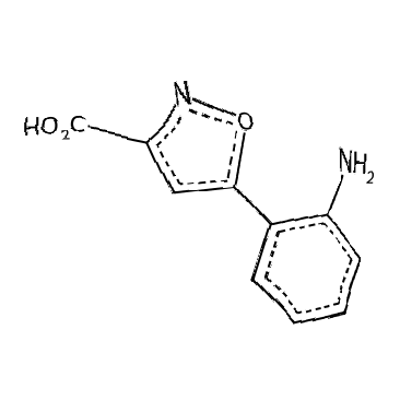 Nc1ccccc1-c1cc(C(=O)O)no1